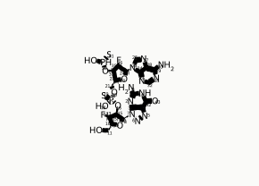 Nc1nc2c(nnn2[C@@H]2O[C@H](CO)[C@@H](F)[C@H]2OP(O)(=S)OC[C@H]2O[C@@H](n3cnc4c(N)ncnc43)[C@@H](F)[C@@H]2O[PH](O)=S)c(=O)[nH]1